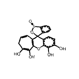 O=S1OC2(C3=C(Oc4c2ccc(O)c4O)C(O)=C(O)CC=C3)c2ccccc21